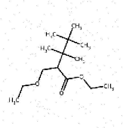 CCOCC(C(=O)OCC)C(C)(C)C(C)(C)C